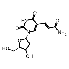 NC(=O)C=Cc1cn([C@@H]2CC(O)[C@H](CO)O2)c(=O)[nH]c1=O